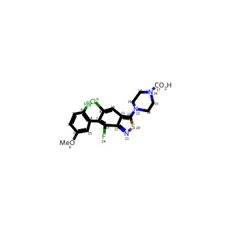 COc1ccc(Br)c(-c2c(Cl)cc3c(N4CCN(C(=O)O)CC4)snc3c2F)c1